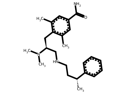 Cc1cc(C(N)=O)cc(C)c1C[C@@H](CNCC[C@@H](C)c1ccccc1)N(C)C